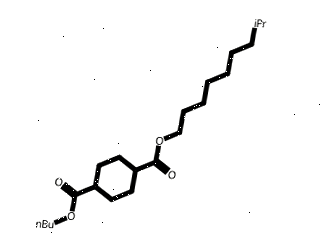 CCCCOC(=O)C1CCC(C(=O)OCCCCCCCC(C)C)CC1